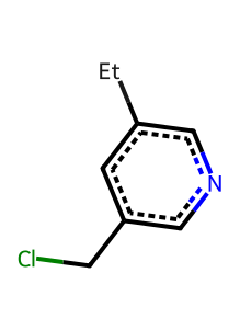 CCc1cncc(CCl)c1